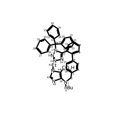 CCCCN(Cc1ccc(-c2ccccc2-c2nnnn2C(c2ccccc2)(c2ccccc2)c2ccccc2)cc1)c1ncn(CC)c1C(=O)O